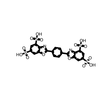 O=S(=O)(O)c1cc(S(=O)(=O)O)c2nc(-c3ccc(-c4nc5c(S(=O)(=O)O)cc(S(=O)(=O)O)cc5o4)cc3)oc2c1